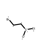 [CH2]C[S+]([O-])CCBr